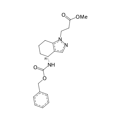 COC(=O)CCn1ncc2c1CCC[C@H]2NC(=O)OCc1ccccc1